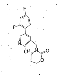 Cc1ncc(-c2ccc(F)cc2F)cc1CN1CCCOC1=O